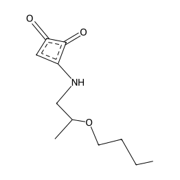 CCCCOC(C)CNc1cc(=O)c1=O